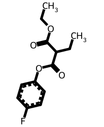 CCOC(=O)C(CC)C(=O)Oc1ccc(F)cc1